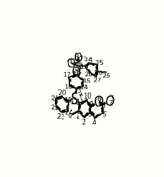 Cc1cc2ccc(=O)oc2cc1[S+](c1ccccc1)c1ccccc1.Cc1ccc(S(=O)(=O)[O-])cc1